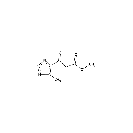 COC(=O)CC(=O)c1ncnn1C